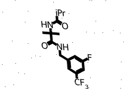 CC(C)C(=O)NC(C)(C)C(=O)NCc1cc(F)cc(C(F)(F)F)c1